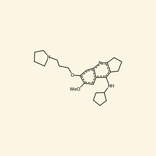 COc1cc2c(NC3CCCC3)c3c(nc2cc1OCCCN1CCCC1)CCC3